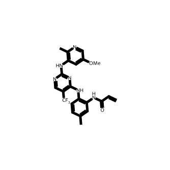 C=CC(=O)Nc1cc(C)ccc1Nc1nc(Nc2cc(OC)cnc2C)ncc1C(F)(F)F